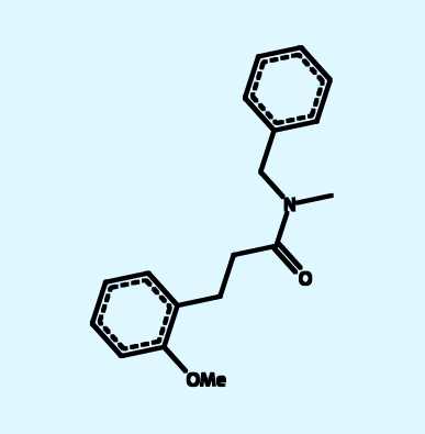 COc1ccccc1CCC(=O)N(C)Cc1ccccc1